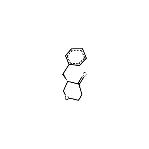 O=C1CCOC[C@H]1Cc1ccccc1